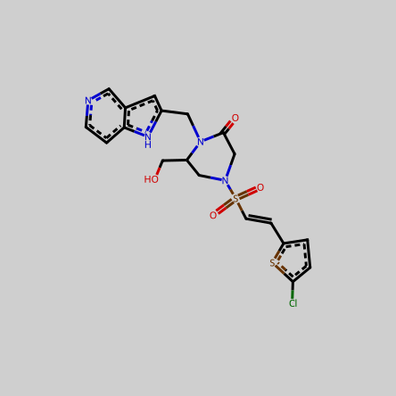 O=C1CN(S(=O)(=O)/C=C/c2ccc(Cl)s2)CC(CO)N1Cc1cc2cnccc2[nH]1